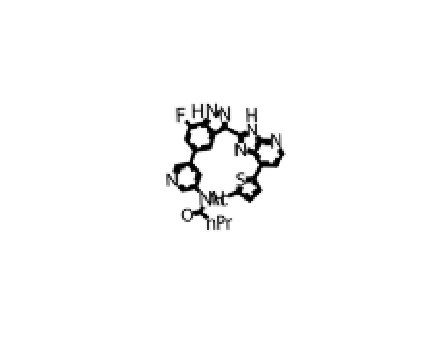 CCCC(=O)Nc1cncc(-c2cc(F)c3[nH]nc(-c4nc5c(-c6ccc(C(C)=O)s6)ccnc5[nH]4)c3c2)c1